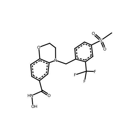 CS(=O)(=O)c1ccc(CN2CCOc3ccc(C(=O)NO)cc32)c(C(F)(F)F)c1